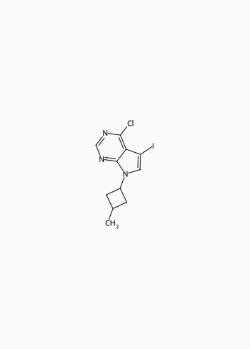 CC1CC(n2cc(I)c3c(Cl)ncnc32)C1